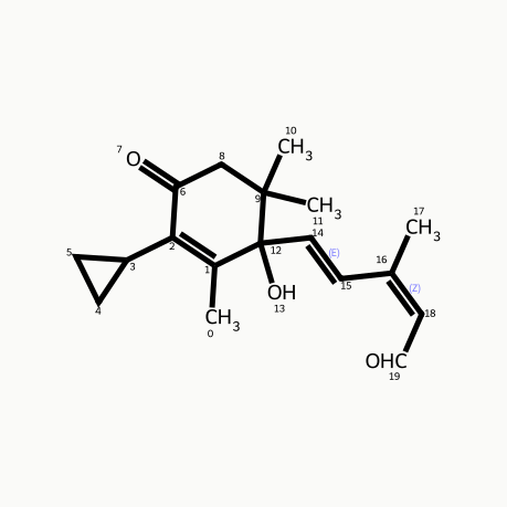 CC1=C(C2CC2)C(=O)CC(C)(C)C1(O)/C=C/C(C)=C\C=O